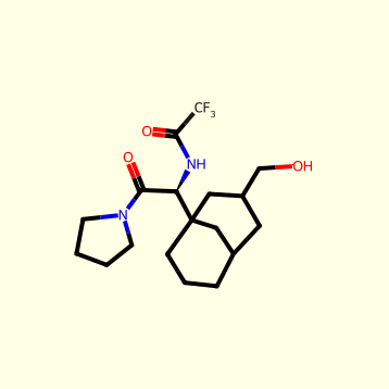 O=C([C@@H](NC(=O)C(F)(F)F)C12CCCC(CC(CO)C1)C2)N1CCCC1